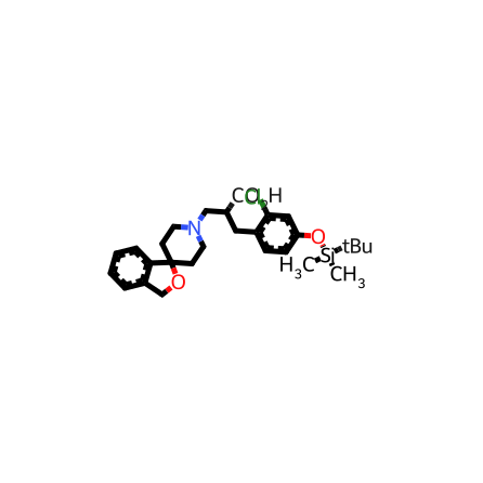 CC(C)(C)[Si](C)(C)Oc1ccc(CC(CN2CCC3(CC2)OCc2ccccc23)C(=O)O)c(Cl)c1